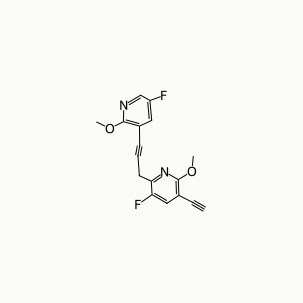 C#Cc1cc(F)c(CC#Cc2cc(F)cnc2OC)nc1OC